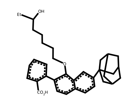 CCC(O)CCCCCOc1c(-c2ccccc2C(=O)O)ccc2ccc(C34CC5CC(CC(C5)C3)C4)cc12